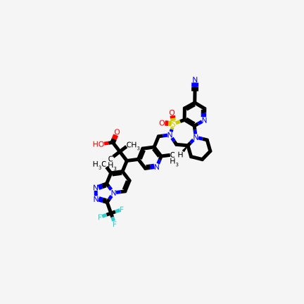 Cc1ncc(C(c2ccn3c(C(F)(F)F)nnc3c2C)C(C)(C)C(=O)O)cc1CN1C[C@H]2CCCCN2c2ncc(C#N)cc2S1(=O)=O